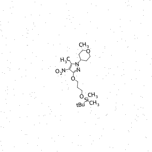 Cc1c([N+](=O)[O-])c(OCCCO[Si](C)(C)C(C)(C)C)nn1C1CCO[C@@H](C)C1